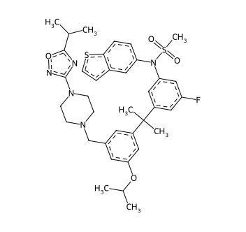 CC(C)Oc1cc(CN2CCN(c3noc(C(C)C)n3)CC2)cc(C(C)(C)c2cc(F)cc(N(c3ccc4sccc4c3)S(C)(=O)=O)c2)c1